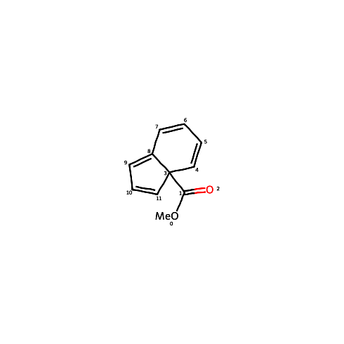 COC(=O)C12C=CC=CC1=CC=C2